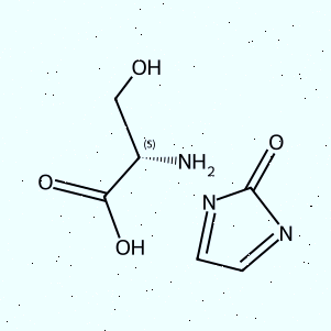 N[C@@H](CO)C(=O)O.O=C1N=CC=N1